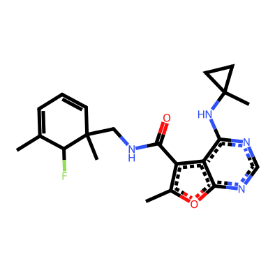 CC1=CC=CC(C)(CNC(=O)c2c(C)oc3ncnc(NC4(C)CC4)c23)C1F